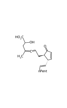 CCCCCC=C[C@H]1C=CC(=O)[C@@H]1CC=C=C(C)CC(O)C(=O)O